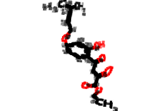 CCOC(=O)C(=O)CC(=O)c1ccc(OCC=C(C)C)cc1O